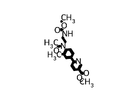 CCOC(=O)NCCN(C(C)=O)c1ccc(-c2ccc(C(=O)OC)cn2)cc1C